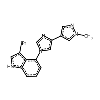 CC(C)c1c[nH]c2cccc(-n3cnc(-c4cnn(C)c4)c3)c12